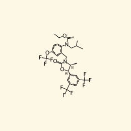 C=C(OCC)N(CC(C)C)c1ccc(OC(F)(F)F)cc1CN1C(=O)O[C@H](c2cc(C(F)(F)F)cc(C(F)(F)F)c2)[C@@H]1C